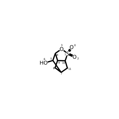 O=S1(=O)OC2C(O)C3CC2C1C3